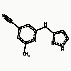 Cc1cc(C#N)cc(Nc2cc[nH]n2)n1